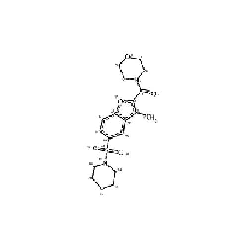 Cc1c(C(=O)N2CCOCC2)oc2ccc(S(=O)(=O)N3CCOCC3)cc12